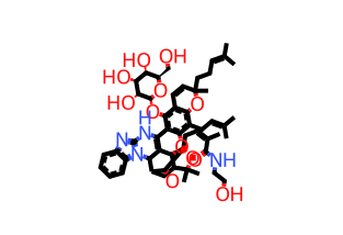 CC(C)=CCCC1(C)C=Cc2c(c(CC=C(C)C)c3c(c2O[C@@H]2O[C@H](CO)[C@@H](O)[C@H](O)[C@H]2O)C2=C4C(C5CC6C(C)(C)OC(C/C=C(/C)C(=O)NCCO)(C5=O)C46O3)n3c(nc4ccccc43)N2)O1